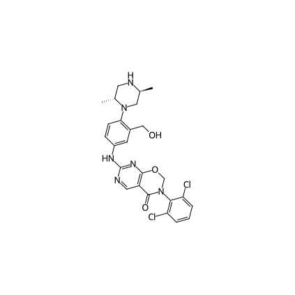 C[C@@H]1CN[C@@H](C)CN1c1ccc(Nc2ncc3c(n2)OCN(c2c(Cl)cccc2Cl)C3=O)cc1CO